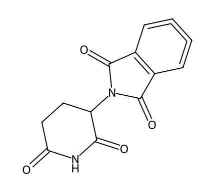 O=C1CCC(N2C(=O)C3=C(C=C=C=C3)C2=O)C(=O)N1